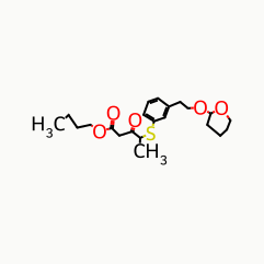 CCCCOC(=O)CC(=O)C(C)Sc1cccc(CCOC2CCCCO2)c1